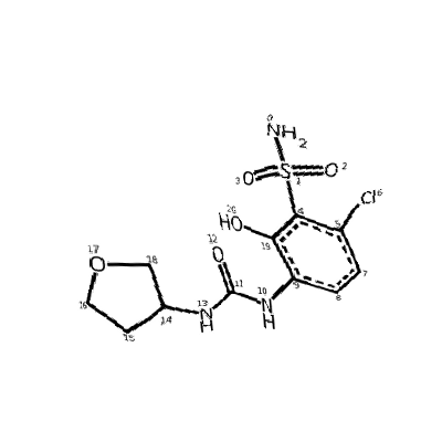 NS(=O)(=O)c1c(Cl)ccc(NC(=O)NC2CCOC2)c1O